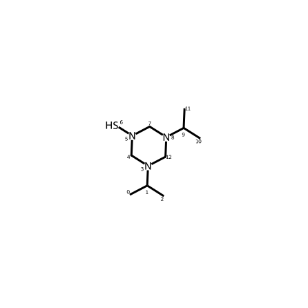 CC(C)N1CN(S)CN(C(C)C)C1